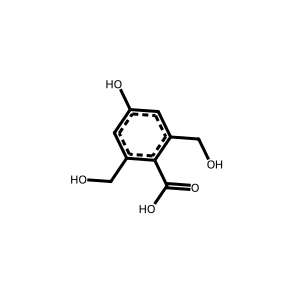 O=C(O)c1c(CO)cc(O)cc1CO